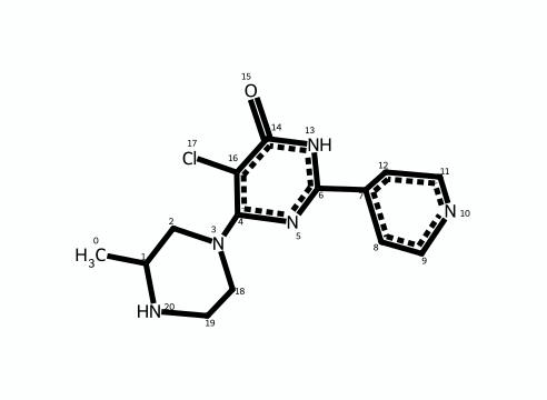 CC1CN(c2nc(-c3ccncc3)[nH]c(=O)c2Cl)CCN1